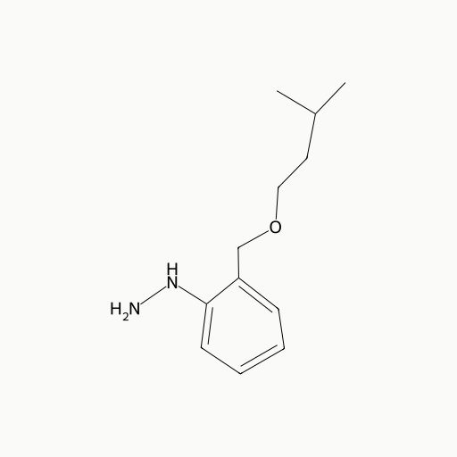 CC(C)CCOCc1ccccc1NN